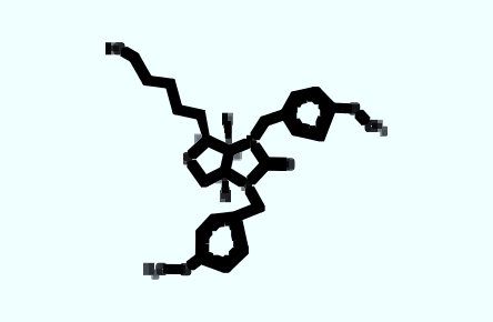 COc1ccc(CN2C(=O)N(Cc3ccc(OC)cc3)[C@H]3CS[C@@H](CCCCCO)[C@H]32)cc1